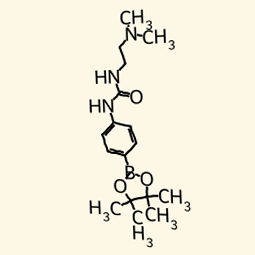 CN(C)CCNC(=O)Nc1ccc(B2OC(C)(C)C(C)(C)O2)cc1